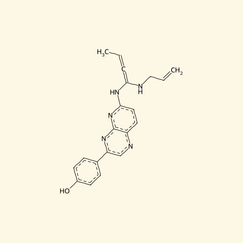 C=CCNC(=C=CC)Nc1ccc2ncc(-c3ccc(O)cc3)nc2n1